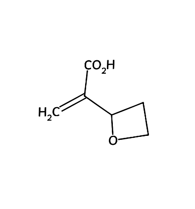 C=C(C(=O)O)C1CCO1